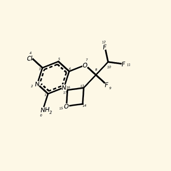 Nc1nc(Cl)cc(OC(F)(C(F)F)C2COC2)n1